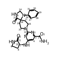 NC(=O)c1cc(N[C@H]2CCNC2=O)nc(N2CCC3(CC2)C(=O)NCN3c2ccccc2)n1